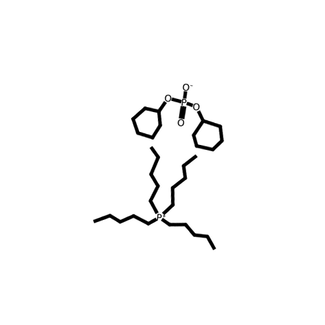 CCCCC[P+](CCCCC)(CCCCC)CCCCC.O=P([O-])(OC1CCCCC1)OC1CCCCC1